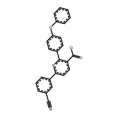 N#Cc1cccc(-c2ccc(C(=O)Cl)c(-c3ccc(Oc4ccccc4)cc3)n2)c1